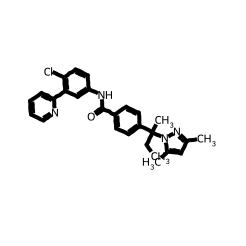 CCC(C)(c1ccc(C(=O)Nc2ccc(Cl)c(-c3ccccn3)c2)cc1)n1nc(C)cc1C